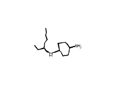 CCCC(CC)NC1CCC(N)CC1